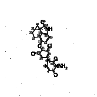 Nn1c(=O)cnn(-c2cc(Cl)c(Oc3ccc4c5c3CCC3CC53C(=O)N4)c(Cl)c2)c1=O